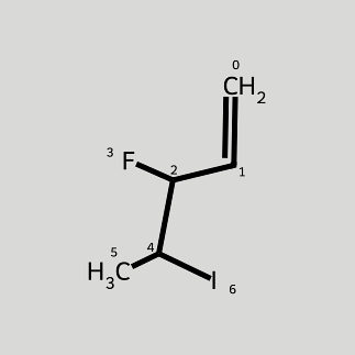 C=CC(F)C(C)I